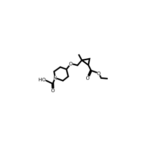 CCOC(=O)C1CC1(C)COC1CCN(C(=O)O)CC1